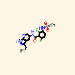 CCCS(=O)(=O)Nc1ccc(F)c(C(=O)Nc2cnc3[nH]nc(CC(C)C)c3c2)c1F